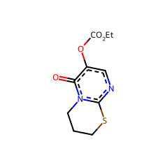 CCOC(=O)Oc1cnc2n(c1=O)CCCS2